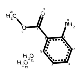 Bc1ccccc1C(=O)OC.O.O